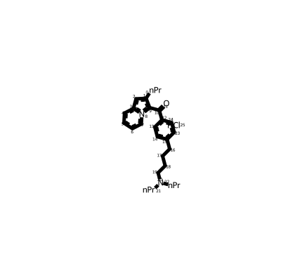 CCCc1cc2ccccn2c1C(=O)c1ccc(CCCCN(CCC)CCC)cc1.Cl